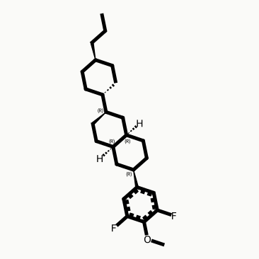 CCC[C@H]1CC[C@H]([C@@H]2CC[C@@H]3C[C@H](c4cc(F)c(OC)c(F)c4)CC[C@@H]3C2)CC1